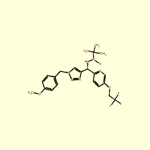 COc1ccc(Cn2cc([C@@H](N[S+]([O-])C(C)(C)C)c3ccc(OCC(F)(F)F)cn3)nn2)cc1